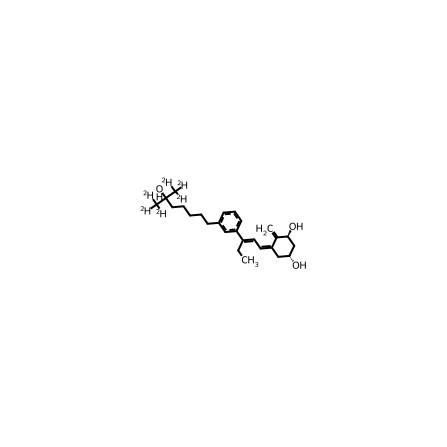 [2H]C([2H])([2H])C(O)(CCCCCc1cccc(C(=CC=C2C[C@@H](O)C[C@H](O)C2=C)CC)c1)C([2H])([2H])[2H]